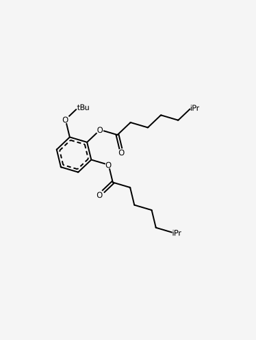 CC(C)CCCCC(=O)Oc1cccc(OC(C)(C)C)c1OC(=O)CCCCC(C)C